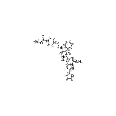 CC(C)(C)OC(=O)N1CCN(CCNC(=O)C(C)(c2ccccc2)n2ncc3c2nc(N)n2nc(-c4ccco4)nc32)CC1